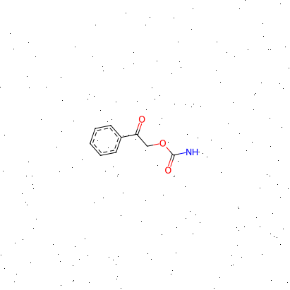 [NH]C(=O)OCC(=O)c1ccccc1